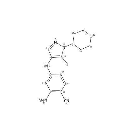 CNc1nc(Nc2cnn(C3CCOCC3)c2C)ncc1C#N